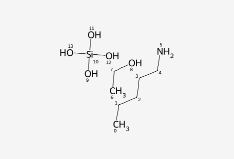 CCCCCN.CCO.O[Si](O)(O)O